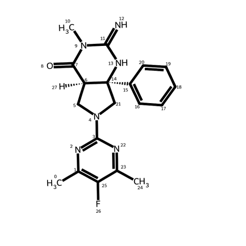 Cc1nc(N2C[C@H]3C(=O)N(C)C(=N)N[C@@]3(c3ccccc3)C2)nc(C)c1F